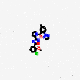 COc1c(Cl)cccc1-c1nc(C2CCCN2C(=O)c2cc(C)ccc2-n2nccn2)no1